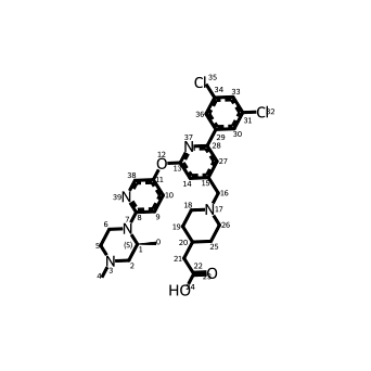 C[C@H]1CN(C)CCN1c1ccc(Oc2cc(CN3CCC(CC(=O)O)CC3)cc(-c3cc(Cl)cc(Cl)c3)n2)cn1